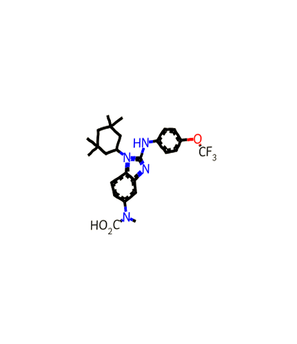 CN(C(=O)O)c1ccc2c(c1)nc(Nc1ccc(OC(F)(F)F)cc1)n2C1CC(C)(C)CC(C)(C)C1